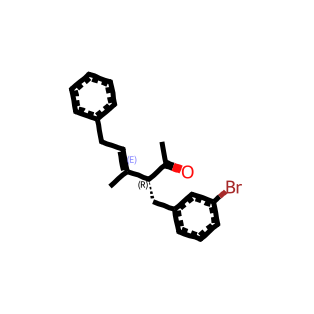 CC(=O)[C@H](Cc1cccc(Br)c1)/C(C)=C/Cc1ccccc1